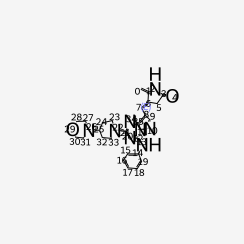 C=C1NC(=O)C/C1=C\c1cnn2c(Nc3ccccc3)nc(N3CCC(N4CCOCC4)CC3)nc12